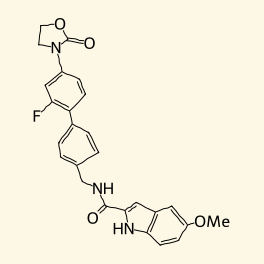 COc1ccc2[nH]c(C(=O)NCc3ccc(-c4ccc(N5CCOC5=O)cc4F)cc3)cc2c1